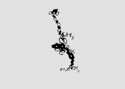 Cc1cccc2c(OC(=O)N(C)CCOCCOCCOCCN3C(=O)C=CC3=O)cc3c(c12)[C@H](CCl)CN3C(=O)c1cc2cc(CCCCN(C)C)ccc2[nH]1